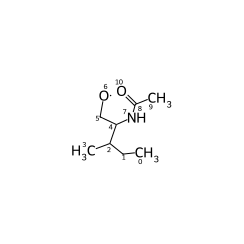 CCC(C)C(C[O])NC(C)=O